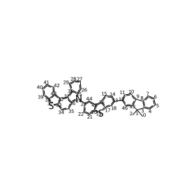 CC1(C)c2ccccc2-c2ccc(-c3ccc4c(c3)sc3ccc(-n5c6ccccc6c6c7c(ccc65)sc5ccccc57)cc34)cc21